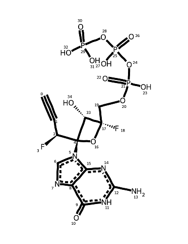 C#C[C@H](F)[C@@]1(n2cnc3c(=O)[nH]c(N)nc32)O[C@](F)(COP(=O)(O)OP(=O)(O)OP(=O)(O)O)[C@H]1O